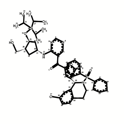 Cc1sc(C(=O)c2cncnc2N[C@@H]2C[C@H](CO)[C@@H](O[Si](C(C)C)(C(C)C)C(C)C)C2)cc1[C@H]1c2cc(Cl)ccc2CCN1P(=O)(c1ccccc1)c1ccccc1